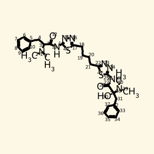 CN(C)C(Cc1ccccc1)C(=O)Nc1nnc(CCCCc2nnc(NC(=O)[C@](O)(Cc3ccccc3)N(C)C)s2)s1